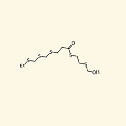 CCSCSCSCCC(=O)SCCSCO